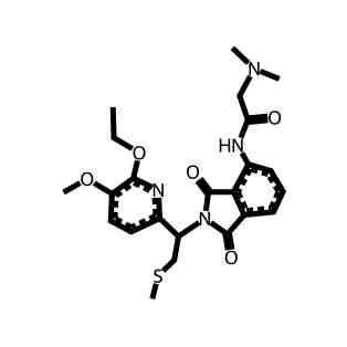 CCOc1nc(C(CSC)N2C(=O)c3cccc(NC(=O)CN(C)C)c3C2=O)ccc1OC